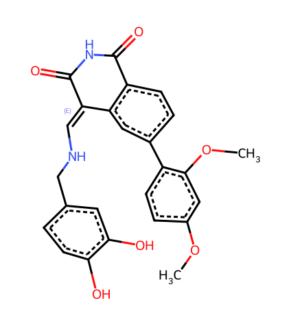 COc1ccc(-c2ccc3c(c2)/C(=C\NCc2ccc(O)c(O)c2)C(=O)NC3=O)c(OC)c1